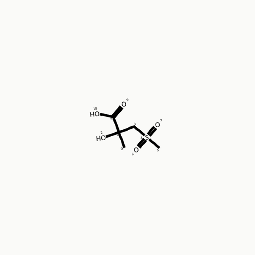 CC(O)(CS(C)(=O)=O)C(=O)O